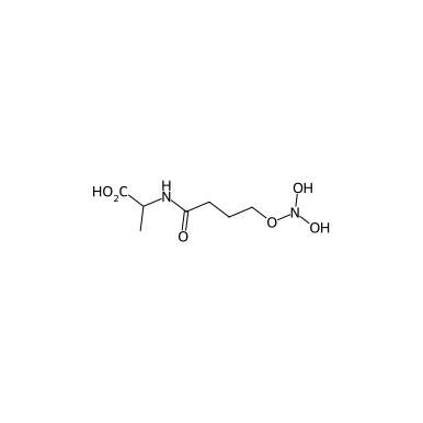 CC(NC(=O)CCCON(O)O)C(=O)O